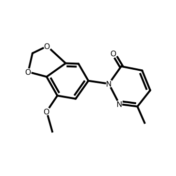 COc1cc(-n2nc(C)ccc2=O)cc2c1OCO2